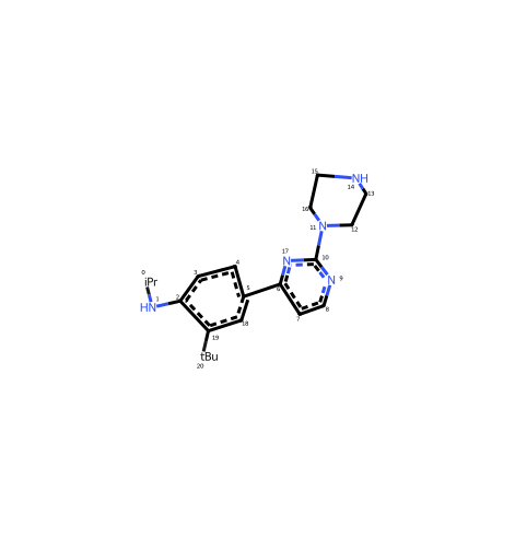 CC(C)Nc1ccc(-c2ccnc(N3CCNCC3)n2)cc1C(C)(C)C